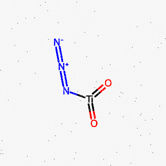 [N-]=[N+]=[N][Ti](=[O])=[O]